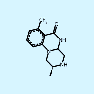 C[C@H]1CN2c3cccc(C(F)(F)F)c3C(=O)NC2CN1